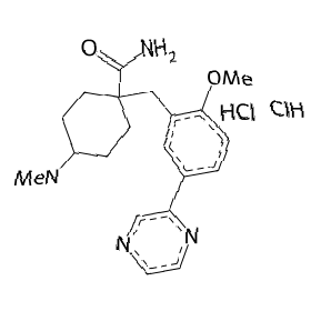 CNC1CCC(Cc2cc(-c3cnccn3)ccc2OC)(C(N)=O)CC1.Cl.Cl